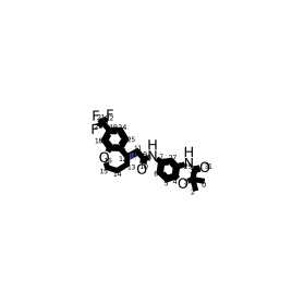 CC1(C)Oc2ccc(NC(=O)/C=C3\CCCOc4cc(C(F)(F)F)ccc43)cc2NC1=O